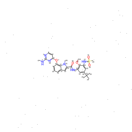 CNc1nccc(Oc2cccc3cc(C(=O)Nc4cc(C(C)(C)C)cc(NS(C)(=O)=O)c4OC)n(C)c23)n1